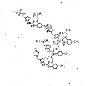 Cc1ccc(NC(=O)Nc2nc(CC(=O)NS(C)(=O)=O)cs2)c(OCC(C)C)c1.Cc1ccc(NC(=O)Nc2nc(CN(C)C)cs2)c(OCC(C)C)c1.Cc1ccc(NC(=O)Nc2nc(CN3CCNCC3)cs2)c(OCC(C)C)c1.Cc1ccc(NC(=O)Nc2nc(CNS(C)(=O)=O)cs2)c(OCC(C)C)c1